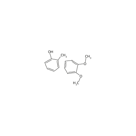 COc1ccccc1OC.Cc1ccccc1O